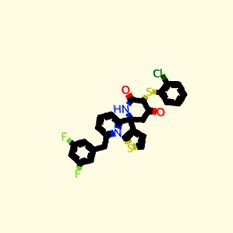 O=C1CC(c2ccsc2)(c2cccc(Cc3cc(F)cc(F)c3)n2)NC(=O)C1Sc1ccccc1Cl